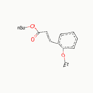 CCCCOC(=O)/C=C/c1ccccc1OCC